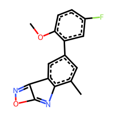 COc1ccc(F)cc1-c1cc(C)c2c(c1)C1=NOC1=N2